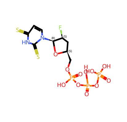 O=P(O)(O)OP(=O)(O)OP(=O)(O)OC[C@@H]1C[C@H](F)[C@H](n2ccc(=S)[nH]c2=S)O1